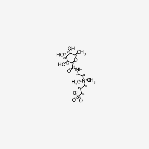 CC1OC(C(=O)NCC[N+](C)(C)CCCS(=O)(=O)[O-])[C@@H](O)[C@H](O)[C@H]1O